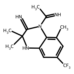 CC(=N)N1C(=N)C(C)(C)Nc2cc(C(F)(F)F)cc(C)c21